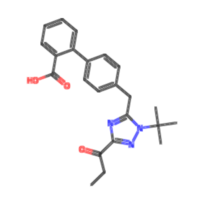 CCC(=O)c1nc(Cc2ccc(-c3ccccc3C(=O)O)cc2)n(C(C)(C)C)n1